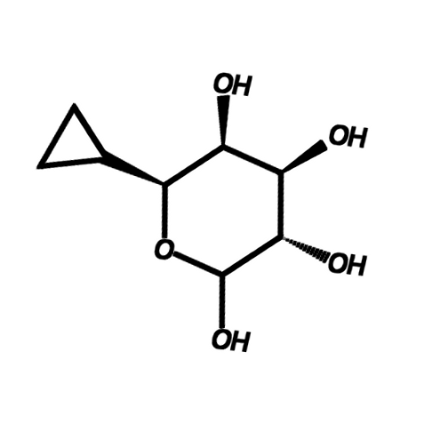 OC1O[C@@H](C2CC2)[C@@H](O)[C@@H](O)[C@@H]1O